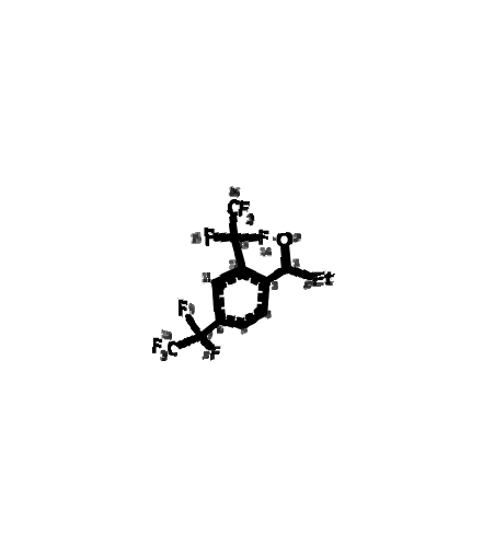 CCC([O])c1ccc(C(F)(F)C(F)(F)F)cc1C(F)(F)C(F)(F)F